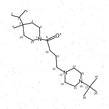 CC(C)C1(C)CCN(C(=O)CCCN2CCN(C(C)(C)C)CC2)CC1